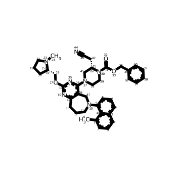 Cc1cccc2cccc(N3CCCc4nc(OC[C@@H]5CCCN5C)nc(N5CCN(C(=O)OCc6ccccc6)[C@@H](CC#N)C5)c4C3)c12